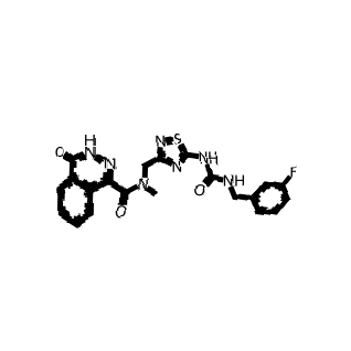 CN(Cc1nsc(NC(=O)NCc2cccc(F)c2)n1)C(=O)c1n[nH]c(=O)c2ccccc12